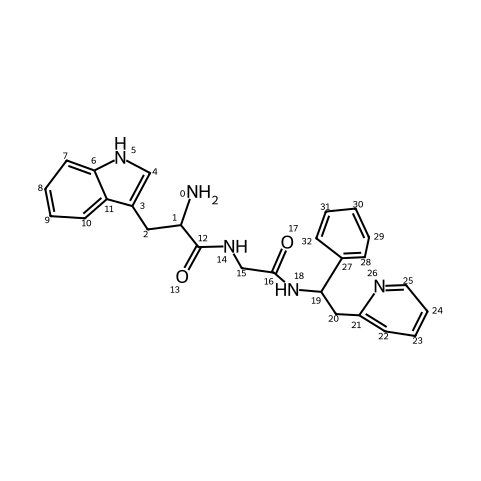 NC(Cc1c[nH]c2ccccc12)C(=O)NCC(=O)NC(Cc1ccccn1)c1ccccc1